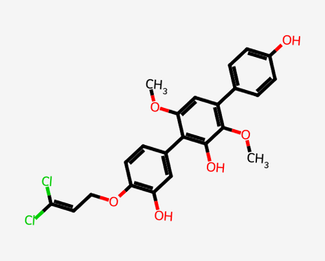 COc1cc(-c2ccc(O)cc2)c(OC)c(O)c1-c1ccc(OCC=C(Cl)Cl)c(O)c1